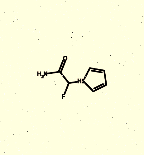 NC(=O)C(F)[SH]1C=CC=C1